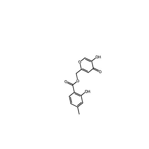 Cc1ccc(C(=O)OCc2cc(=O)c(O)co2)c(O)c1